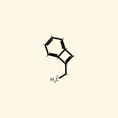 [CH2]CC1=Cc2ccccc21